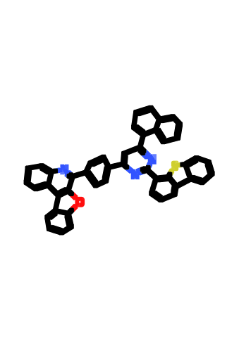 c1ccc2c(-c3cc(-c4ccc(-c5nc6ccccc6c6c5oc5ccccc56)cc4)nc(-c4cccc5c4sc4ccccc45)n3)cccc2c1